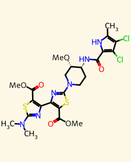 COC(=O)c1sc(N(C)C)nc1-c1nc(N2CC[C@@H](NC(=O)c3[nH]c(C)c(Cl)c3Cl)[C@@H](OC)C2)sc1C(=O)OC